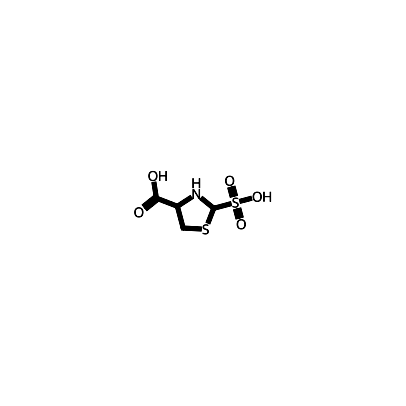 O=C(O)C1CSC(S(=O)(=O)O)N1